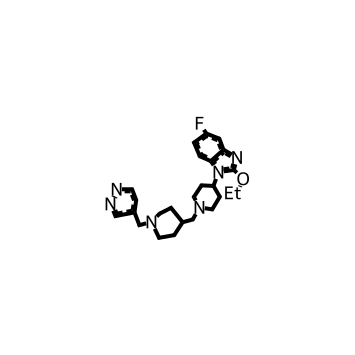 CCOc1nc2cc(F)ccc2n1C1CCN(CC2CCN(Cc3ccnnc3)CC2)CC1